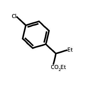 CCOC(=O)C(CC)c1ccc(Cl)cc1